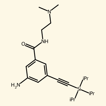 CC(C)[Si](C#Cc1cc(N)cc(C(=O)NCCN(C)C)c1)(C(C)C)C(C)C